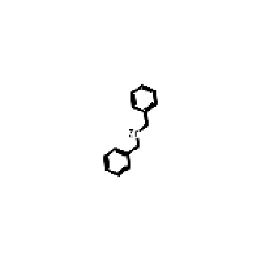 c1ccc([CH2][Zr-][CH2]c2ccccc2)cc1